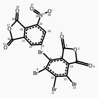 O=C1OC(=O)c2c(Br)c(Br)c(Br)c(Br)c21.O=C1OC(=O)c2c1cccc2[N+](=O)[O-]